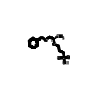 C[C@@H](COCc1ccccc1)OCCCS(=O)(=O)O